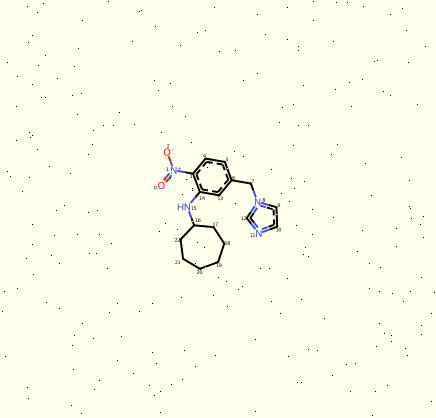 O=[N+]([O-])c1ccc(Cn2ccnc2)cc1NC1CCCCCC1